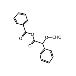 O=[C]OC(C(=O)OC(=O)c1ccccc1)c1ccccc1